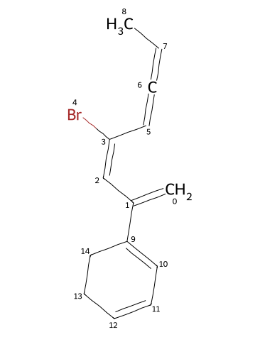 C=C(/C=C(/Br)C=C=CC)C1=CC=CCC1